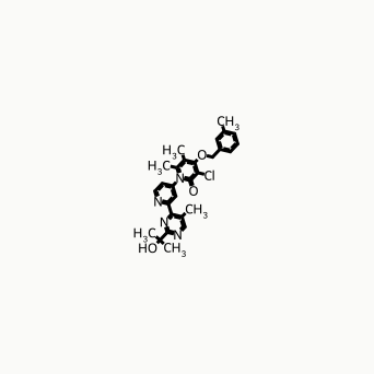 Cc1cccc(COc2c(C)c(C)n(-c3ccnc(-c4nc(C(C)(C)O)ncc4C)c3)c(=O)c2Cl)c1